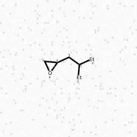 CCC(CC)CC1CO1